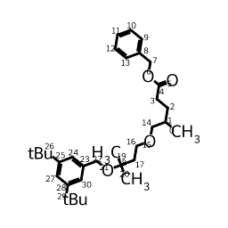 CC(CCC(=O)OCc1ccccc1)COCCC(C)(C)OCc1cc(C(C)(C)C)cc(C(C)(C)C)c1